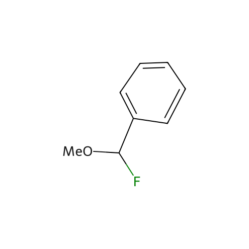 COC(F)c1ccccc1